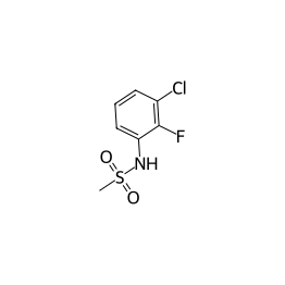 CS(=O)(=O)Nc1cccc(Cl)c1F